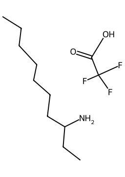 CCCCCCCC(N)CC.O=C(O)C(F)(F)F